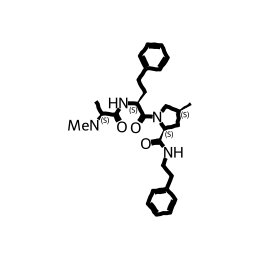 CN[C@@H](C)C(=O)N[C@@H](CCc1ccccc1)C(=O)N1C[C@@H](C)C[C@H]1C(=O)NCCc1ccccc1